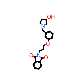 O=C1c2ccccc2C(=O)N1CCCOc1cccc(CN2CCC(O)C2)c1